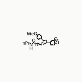 CCCNC(=O)NC=CN1CC(c2ccc3c(c2)OCO3)CC1c1ccc(OC)cc1